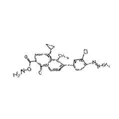 Cc1c(-c2ccc(N=NN)c(Cl)c2)ccn2c(=O)c(C(=O)ON)cc(C3CC3)c12